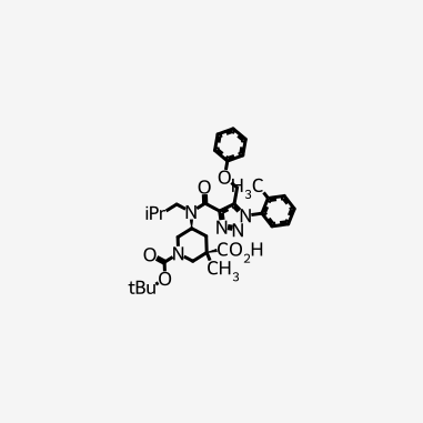 Cc1ccccc1-n1nnc(C(=O)N(CC(C)C)[C@@H]2CN(C(=O)OC(C)(C)C)C[C@](C)(C(=O)O)C2)c1COc1ccccc1